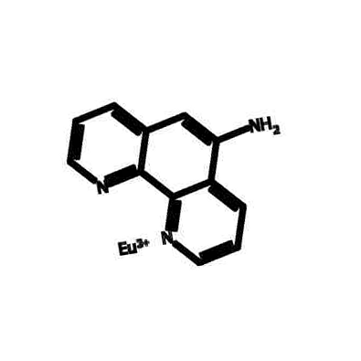 Nc1cc2cccnc2c2ncccc12.[Eu+3]